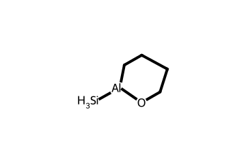 [SiH3][Al]1[CH2]CCC[O]1